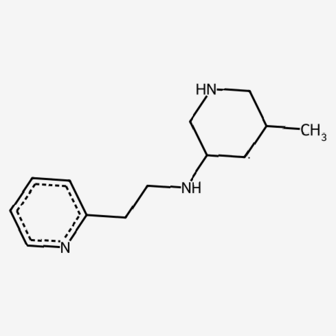 CC1[CH]C(NCCc2ccccn2)CNC1